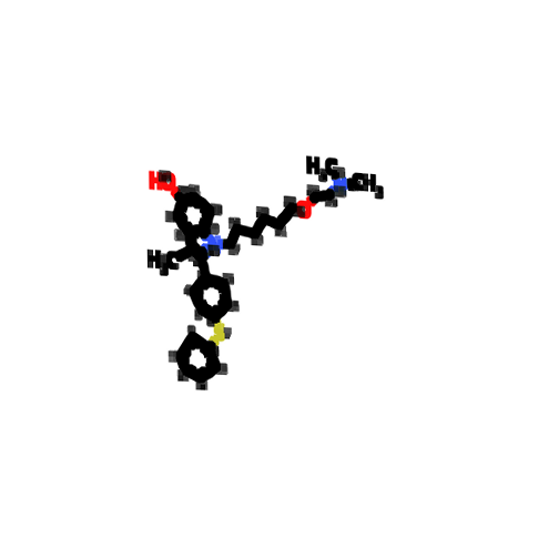 Cc1c(-c2ccc(Sc3ccccc3)cc2)n(CCCCCCOCCN(C)C)c2ccc(O)cc12